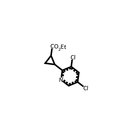 CCOC(=O)C1CC1c1ncc(Cl)cc1Cl